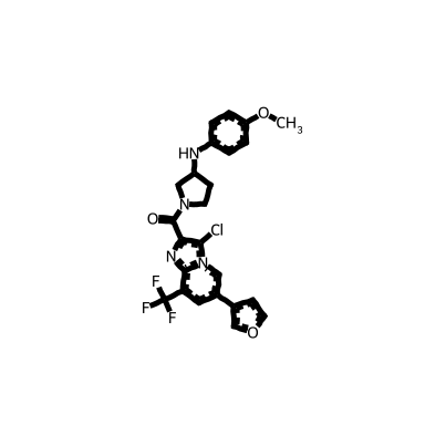 COc1ccc(NC2CCN(C(=O)c3nc4c(C(F)(F)F)cc(-c5ccoc5)cn4c3Cl)C2)cc1